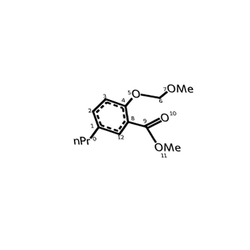 CCCc1ccc(OCOC)c(C(=O)OC)c1